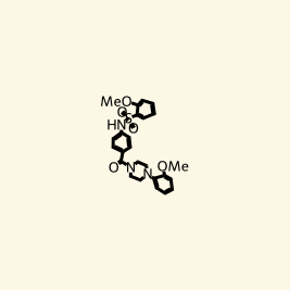 COc1ccccc1N1CCN(C(=O)c2ccc(NS(=O)(=O)c3ccccc3OC)cc2)CC1